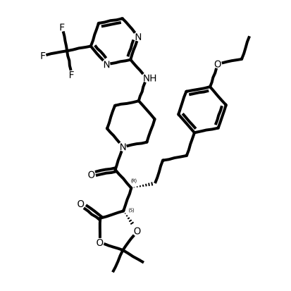 CCOc1ccc(CCC[C@@H](C(=O)N2CCC(Nc3nccc(C(F)(F)F)n3)CC2)[C@@H]2OC(C)(C)OC2=O)cc1